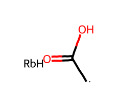 [CH2]C(=O)O.[RbH]